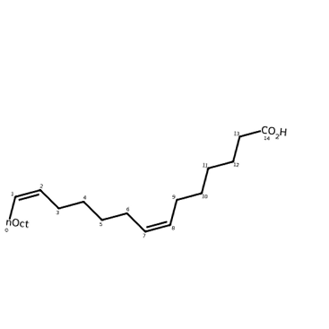 CCCCCCCC/C=C\CCCC/C=C\CCCCCC(=O)O